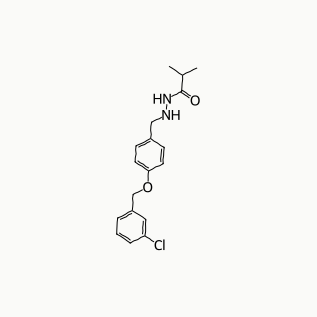 CC(C)C(=O)NNCc1ccc(OCc2cccc(Cl)c2)cc1